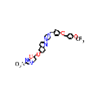 O=[N+]([O-])c1cn2c(n1)OC(COc1ccc3nc(N4CCN(Cc5ccc(OCc6ccc(OC(F)(F)F)cc6)cc5)CC4)ccc3c1)CC2